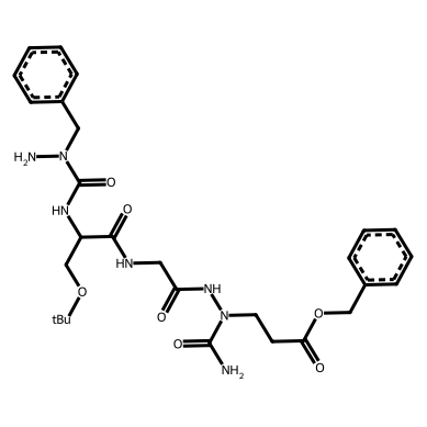 CC(C)(C)OCC(NC(=O)N(N)Cc1ccccc1)C(=O)NCC(=O)NN(CCC(=O)OCc1ccccc1)C(N)=O